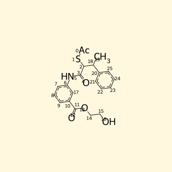 CC(=O)SC(C(=O)Nc1cccc(C(=O)OCCO)c1)C(C)c1ccccc1